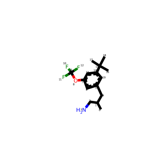 CC(CN)Cc1cc(OC(F)(F)F)cc(C(C)(C)C)c1